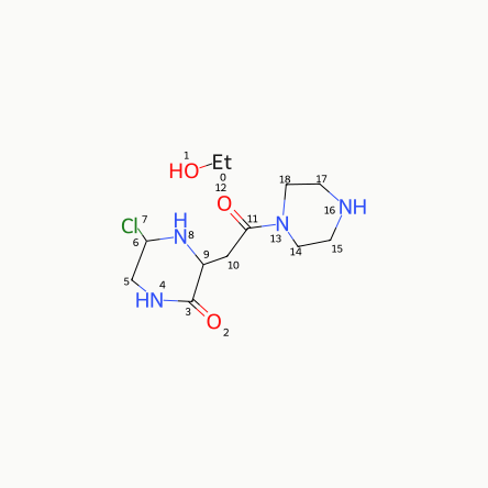 CCO.O=C1NCC(Cl)NC1CC(=O)N1CCNCC1